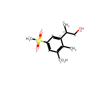 Cc1c(C(=O)O)cc(S(C)(=O)=O)cc1C(C)CO